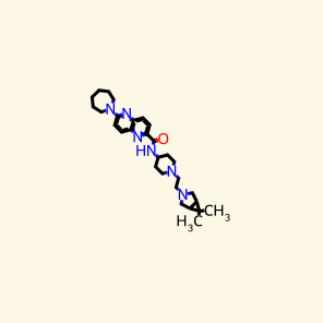 CC1(C)C2CN(CCN3CCC(NC(=O)c4ccc5nc(N6CCCCCC6)ccc5n4)CC3)CC21